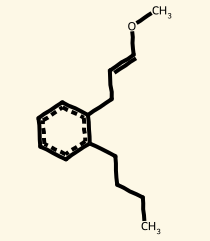 CCCCc1ccccc1CC=COC